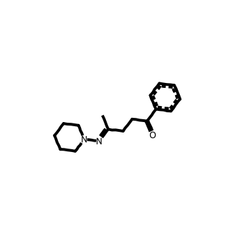 C/C(CCC(=O)c1ccccc1)=N\N1CCCCC1